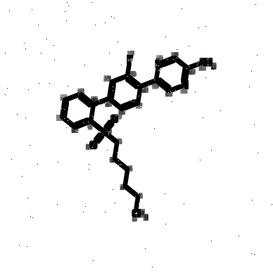 CCCCCCS(=O)(=O)c1ccccc1-c1ccc(-c2cnc(N)cn2)c(F)c1